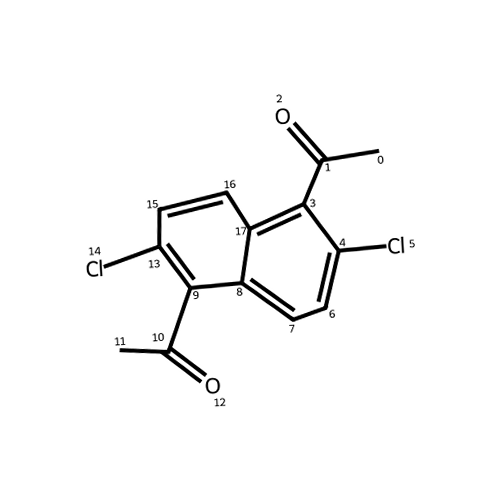 CC(=O)c1c(Cl)ccc2c(C(C)=O)c(Cl)ccc12